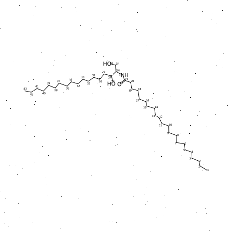 CCCCCCCCCCCCCCCCCCCCCC(=O)NC(CO)C(O)CCCCCCCCCCCCCCC